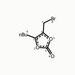 CCCCc1oc(=O)oc1CBr